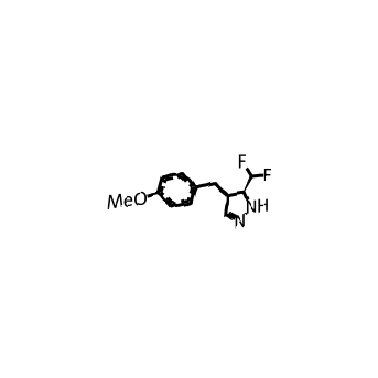 COc1ccc(CC2C=NN[C@@H]2C(F)F)cc1